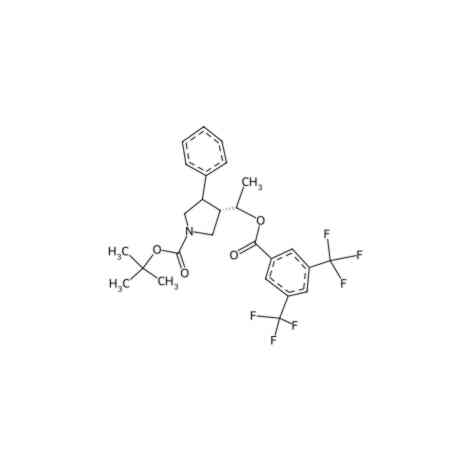 CC(OC(=O)c1cc(C(F)(F)F)cc(C(F)(F)F)c1)[C@@H]1CN(C(=O)OC(C)(C)C)CC1c1ccccc1